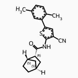 Cc1ccc(C)c(-c2cc(C#N)c(NC(=O)[C@@H]3C[C@H]4CC[C@H]3C4)s2)c1